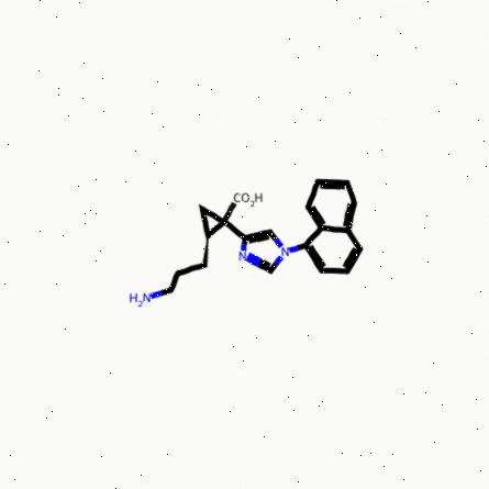 NCCC[C@H]1CC1(C(=O)O)c1cn(-c2cccc3ccccc23)cn1